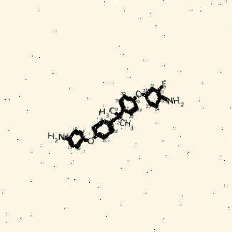 CC(C)(c1ccc(Oc2ccc(N)cc2)cc1)c1ccc(Oc2ccc(N)c(F)c2)cc1